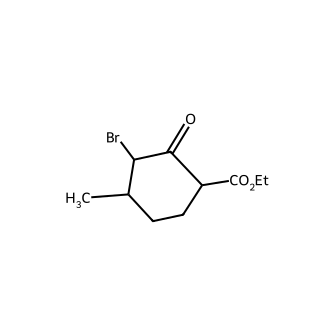 CCOC(=O)C1CCC(C)C(Br)C1=O